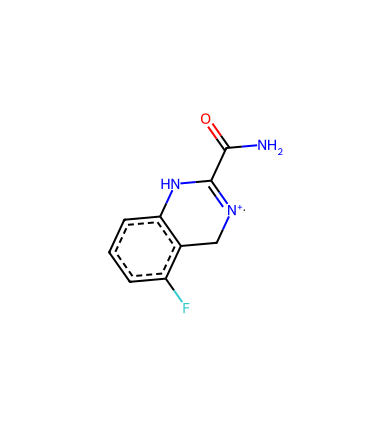 NC(=O)C1=[N+]Cc2c(F)cccc2N1